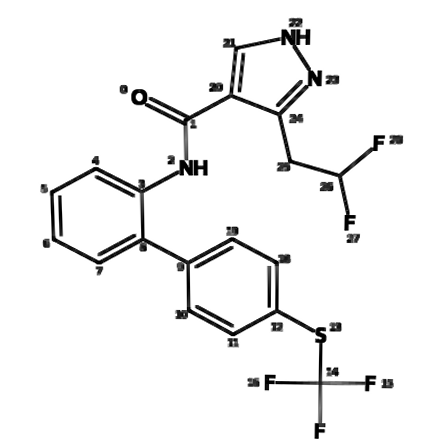 O=C(Nc1ccccc1-c1ccc(SC(F)(F)F)cc1)c1c[nH]nc1CC(F)F